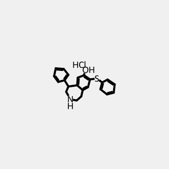 Cl.Oc1cc2c(cc1Sc1ccccc1)CCNCC2c1ccccc1